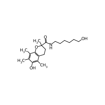 Cc1c(C)c2c(c(C)c1O)CCC(C)(C(=O)NCCCCCCO)O2